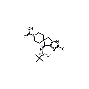 CC(C)(C)[S@@+]([O-])/N=C1\c2sc(Cl)nc2CC12CCN(C(=O)O)CC2